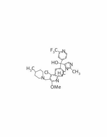 COc1nc2ccc(C(O)(c3ccnc(C(F)(F)F)c3)c3cnc(C)n3C)cc2c(Cl)c1CN1CCC(C)CC1